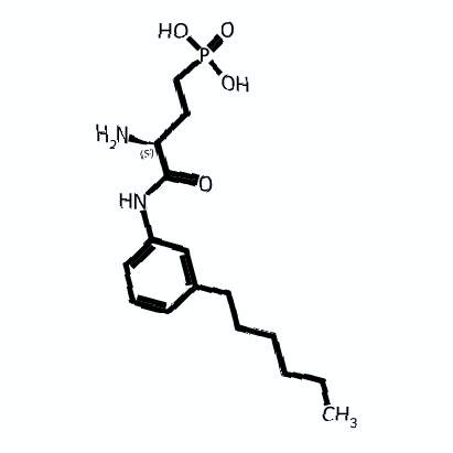 CCCCCCc1cccc(NC(=O)[C@@H](N)CCP(=O)(O)O)c1